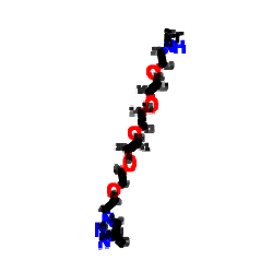 Cc1cn(CCOCCOCCOCCOCCOCCNC(C)C)nn1